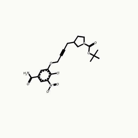 CC(C)(C)OC(=O)N1CCC(CC#CCOc2cc(C(N)=O)cc([N+](=O)[O-])c2Cl)C1